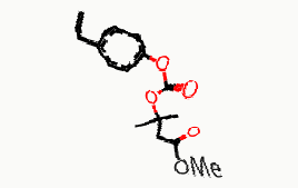 C=Cc1ccc(OC(=O)OC(C)(C)CC(=O)OC)cc1